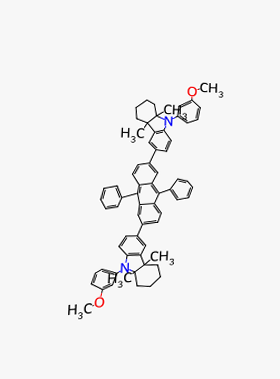 COc1cccc(N2c3ccc(-c4ccc5c(-c6ccccc6)c6cc(-c7ccc8c(c7)C7(C)CCCCC7(C)N8c7cccc(OC)c7)ccc6c(-c6ccccc6)c5c4)cc3C3(C)CCCCC23C)c1